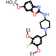 CCOc1cc(CN2CCC(Nc3nc4ccc(OC(=O)O)cc4o3)CC2)cc(OCC)c1F